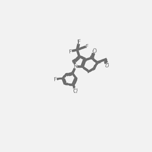 O=CC1CCc2c(c(C(F)(F)F)cn2-c2cc(F)cc(Cl)c2)C1=O